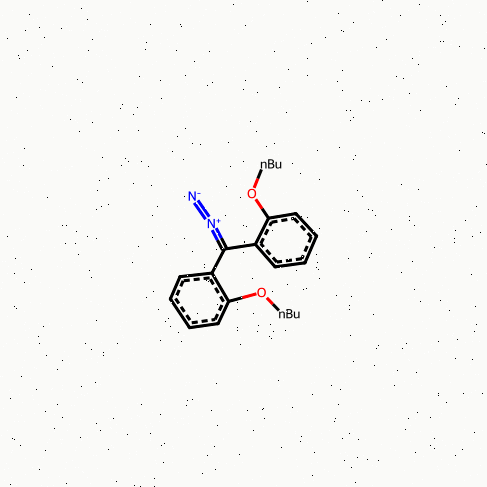 CCCCOc1ccccc1C(=[N+]=[N-])c1ccccc1OCCCC